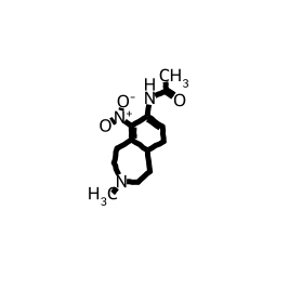 CC(=O)NC1=CCC2CCN(C)CCC2=C1[N+](=O)[O-]